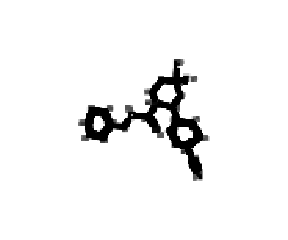 N#Cc1ccc(C2CC(F)(F)CCN2C(=O)OCc2ccccc2)cc1